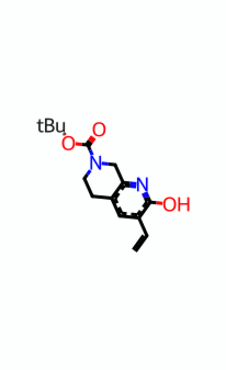 C=Cc1cc2c(nc1O)CN(C(=O)OC(C)(C)C)CC2